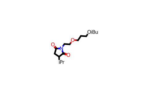 CC(C)COCCCOCCN1C(=O)CC(C(C)C)C1=O